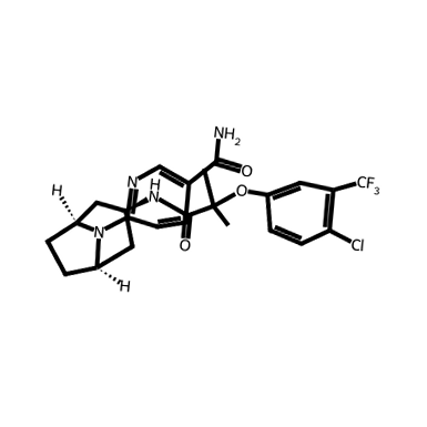 CC(C)(Oc1ccc(Cl)c(C(F)(F)F)c1)C(=O)N[C@H]1C[C@H]2CC[C@@H](C1)N2c1ccc(C(N)=O)cn1